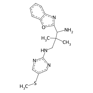 CSc1cnc(NCC(C)(C)C(N)c2nc3ccccc3o2)nc1